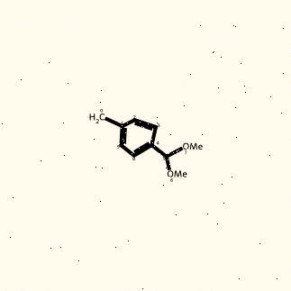 [CH2]c1ccc(C(OC)OC)cc1